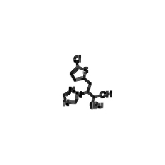 CC(C)(C)C(O)C(Cc1ccc(Cl)s1)n1cncn1